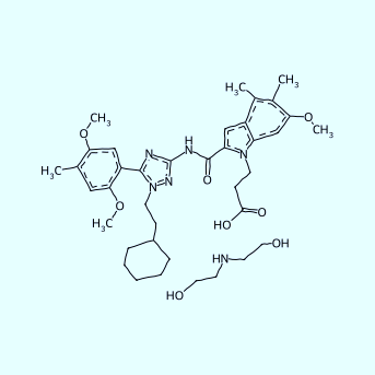 COc1cc(-c2nc(NC(=O)c3cc4c(C)c(C)c(OC)cc4n3CCC(=O)O)nn2CCC2CCCCC2)c(OC)cc1C.OCCNCCO